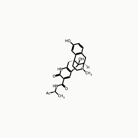 CC(=O)[C@H](C)NC(=O)c1cc2c([nH]c1=O)C[C@]13CCN(C)[C@H](Cc4ccc(O)cc41)[C@]3(O)C2